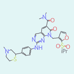 CC(C)S(=O)(=O)c1occc1Cn1c(=O)c(C(=O)N(C)C)cc2cnc(Nc3ccc(C4CN(C)CCS4)cc3)nc21